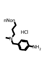 CCCCCCCCCCCCN(C)Cc1ccc(N)cc1.Cl